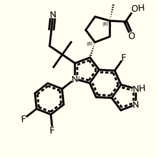 CC(C)(CC#N)c1c([C@@H]2CC[C@@](C)(C(=O)O)C2)c2c(F)c3[nH]ncc3cc2n1-c1ccc(F)c(F)c1